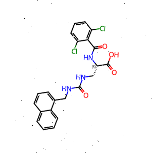 O=C(NCc1cccc2ccccc12)NC[C@H](NC(=O)c1c(Cl)cccc1Cl)C(=O)O